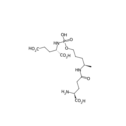 C[C@H](CCCOP(=O)(O)N[C@@H](CCC(=O)O)C(=O)O)NC(=O)CC[C@H](N)C(=O)O